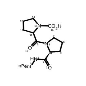 CCCCCNC(=O)[C@@H]1CCCN1C(=O)C1CCCN1C(=O)O